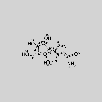 CCc1c(C(N)=O)ncn1[C@@H]1O[C@H](CO)[C@@H](O)[C@H]1O